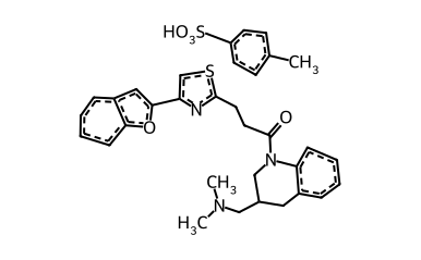 CN(C)CC1Cc2ccccc2N(C(=O)CCc2nc(-c3cc4ccccc4o3)cs2)C1.Cc1ccc(S(=O)(=O)O)cc1